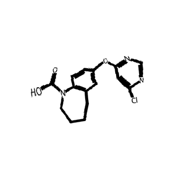 O=C(O)N1CCCCc2cc(Oc3cc(Cl)ncn3)ccc21